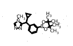 Cn1cnnc1C(c1cccc(B2OC(C)(C)C(C)(C)O2)c1)C1CC1